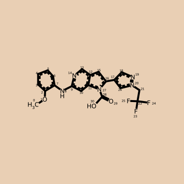 COc1ccccc1Nc1cc2c(cn1)cc(-c1cnn(CC(F)(F)F)c1)n2C(=O)O